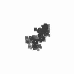 CC1=Cc2c(-c3cc(C(C)(C)C)cc(C(C)(C)C)c3)cccc2C1[Si](C)(C)Nc1ccccc1C(C)C